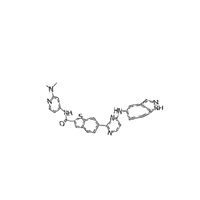 CN(C)c1cc(NC(=O)c2cc3ccc(-c4nccc(Nc5ccc6[nH]ncc6c5)n4)cc3s2)ccn1